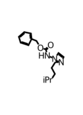 CC(C)CCc1nccn1NC(=O)OCc1ccccc1